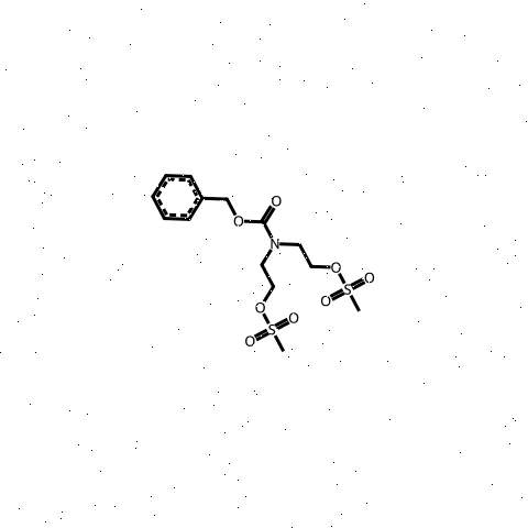 CS(=O)(=O)OCCN(CCOS(C)(=O)=O)C(=O)OCc1ccccc1